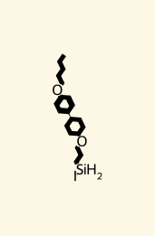 CCCCCOc1ccc([C@H]2CC[C@H](OCCC[SiH2]I)CC2)cc1